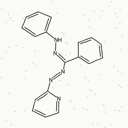 c1ccc(N/N=C(/N=N/c2ccccn2)c2ccccc2)cc1